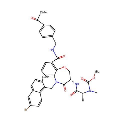 COC(=O)c1ccc(CNC(=O)c2cccc3c2OC[C@H](NC(=O)[C@H](C)N(C)C(=O)OC(C)(C)C)C(=O)N3Cc2c(OC)ccc3cc(Br)ccc23)cc1